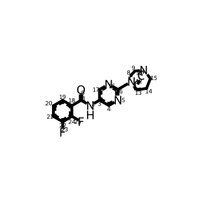 O=C(Nc1cnc(N2CCN3CCC2CC3)nc1)c1cccc(F)c1F